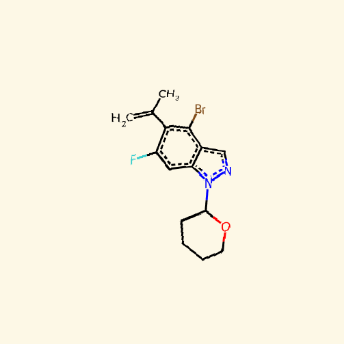 C=C(C)c1c(F)cc2c(cnn2C2CCCCO2)c1Br